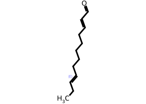 CC/C=C/CCCCCC=CC=O